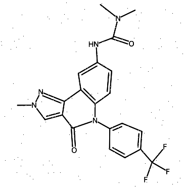 CN(C)C(=O)Nc1ccc2c(c1)c1nn(C)cc1c(=O)n2-c1ccc(C(F)(F)F)cc1